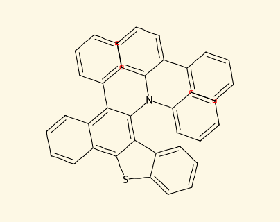 c1ccc(-c2ccccc2N(c2ccccc2)c2c(-c3ccccc3)c3ccccc3c3sc4ccccc4c23)cc1